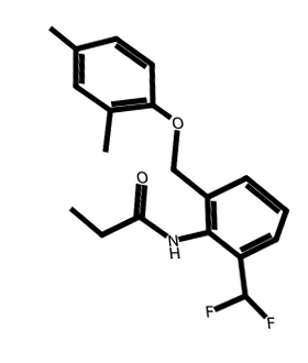 CCC(=O)Nc1c(COc2ccc(C)cc2C)cccc1C(F)F